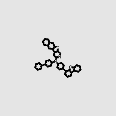 c1ccc(-c2ccc(N(c3ccc(-c4cccc5c4oc4ccccc45)cc3)c3cc4c(cn3)oc3cc5ccccc5cc34)cc2)cc1